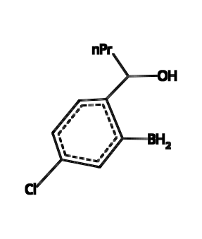 Bc1cc(Cl)ccc1C(O)CCC